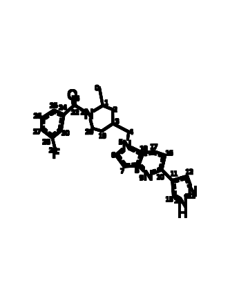 CC1CC(Cn2ccc3nc(-c4cn[nH]c4)ccc32)CCN1C(=O)c1cccc(F)c1